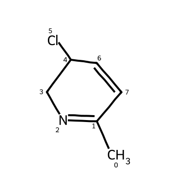 CC1=NCC(Cl)C=C1